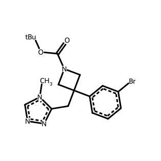 Cn1cnnc1CC1(c2cccc(Br)c2)CN(C(=O)OC(C)(C)C)C1